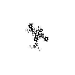 CN(C)CCOc1ccc(CN(CC(=O)NCC(C)(C)c2ccccc2)C(=O)C(Cc2cnc[nH]2)NC(=O)OCc2ccccc2)cc1